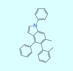 Cc1ccccc1-c1c(C)cc2c(ccn2-c2ccccc2)c1-c1ccccc1